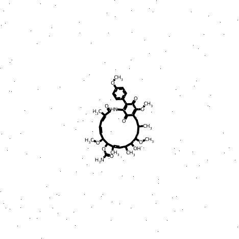 COC1=C2CC(C)CC(OC)C(O)C(C)C=C(C)C(OC(N)=O)C(OC)C=CC=C(C)C(=O)NC(=C(c3ccc(OC)cc3)C1=O)C2=O